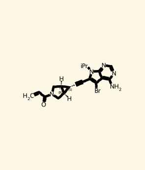 C=CC(=O)N1C[C@@H]2[C@@H](C#Cc3c(Br)c4c(N)ncnc4n3C(C)C)[C@@H]2C1